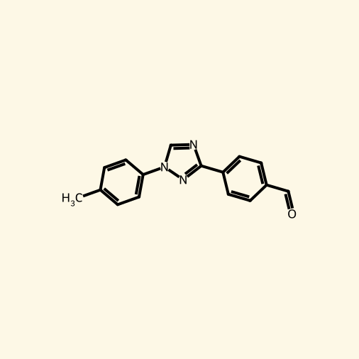 Cc1ccc(-n2cnc(-c3ccc(C=O)cc3)n2)cc1